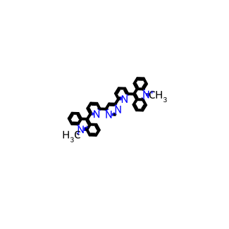 C[n+]1c2ccccc2c(-c2cccc(-c3cc(-c4cccc(-c5c6ccccc6[n+](C)c6ccccc56)n4)ncn3)n2)c2ccccc21